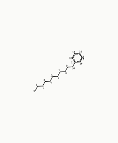 CCCCC[CH]CCCCCc1cccnc1